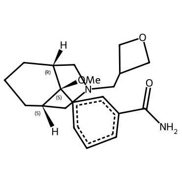 CO[C@]1(c2cccc(C(N)=O)c2)[C@@H]2CCC[C@H]1CN(CC1COC1)C2